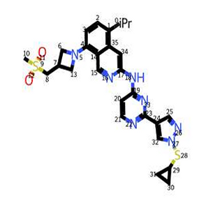 CC(C)c1ccc(N2CC(CS(C)(=O)=O)C2)c2cnc(Nc3ccnc(-c4cnn(SC5CC5)c4)n3)cc12